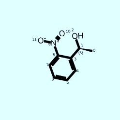 C[C@H](O)c1ccccc1[N+](=O)[O-]